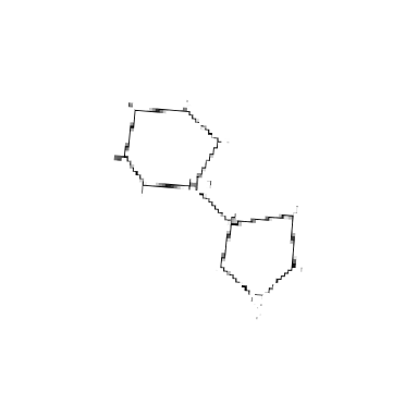 [CH]1CCN(C2CCOC2)CC1